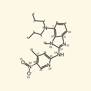 CCCN(CCC)c1cccc2nc(Nc3cc(C)c([N+](=O)[O-])cn3)n(C)c12